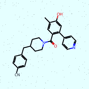 Cc1cc(C(=O)N2CCC(Cc3ccc(C#N)cc3)CC2)c(-c2ccncc2)cc1O